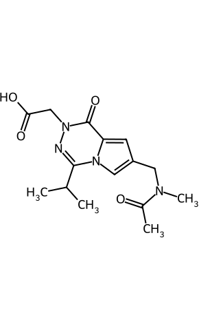 CC(=O)N(C)Cc1cc2c(=O)n(CC(=O)O)nc(C(C)C)n2c1